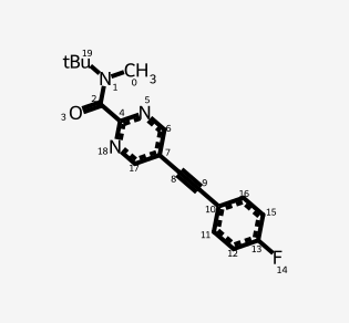 CN(C(=O)c1ncc(C#Cc2ccc(F)cc2)cn1)C(C)(C)C